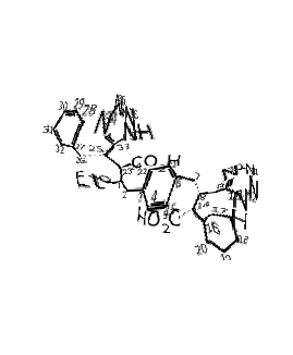 CCC(Cc1ccc(C[C@H](c2nnn[nH]2)[C@@H](C(=O)O)C2CCCC2)cc1)[C@H](C(=O)O)[C@H](Cc1ccccc1)c1nnn[nH]1